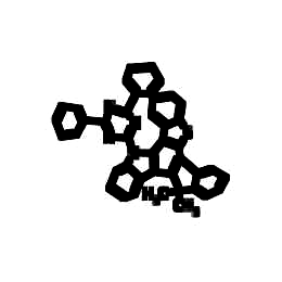 CC1(C)c2ccccc2-c2c1c1c3ccccc3n(-c3nc(-c4ccccc4)nc(-c4ccccc4)n3)c1c1c2sc2ccccc21